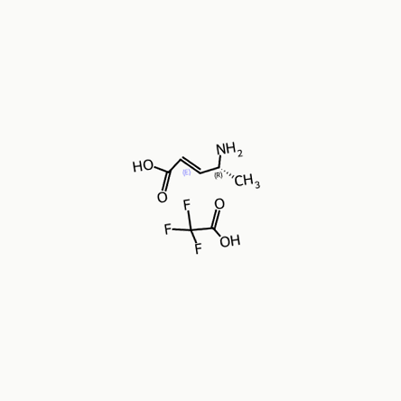 C[C@@H](N)/C=C/C(=O)O.O=C(O)C(F)(F)F